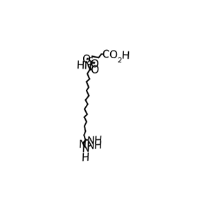 O=C(O)CCCS(=O)(=O)NC(=O)CCCCCCCCCCCCCCCC1=NNNN1